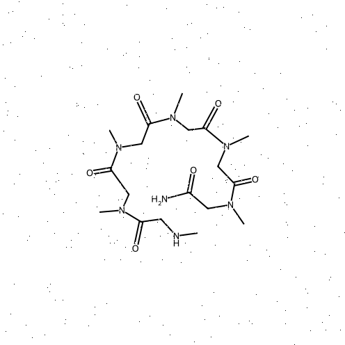 CNCC(=O)N(C)CC(=O)N(C)CC(=O)N(C)CC(=O)N(C)CC(=O)N(C)CC(N)=O